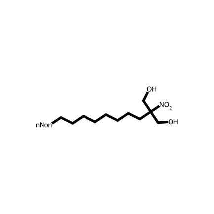 CCCCCCCCCCCCCCCCCC(CO)(CO)[N+](=O)[O-]